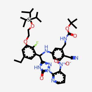 CCc1cc(OCCO[Si](C(C)C)(C(C)C)C(C)C)c(F)c(C(Nc2ccc(C#N)c(CNC(=O)OC(C)(C)C)c2)c2nn(-c3ncccc3[N+](=O)[O-])c(=O)[nH]2)c1